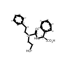 O=C(O)[C@@H](NC(=O)N(CCO)CCc1ccccc1)c1ccccc1